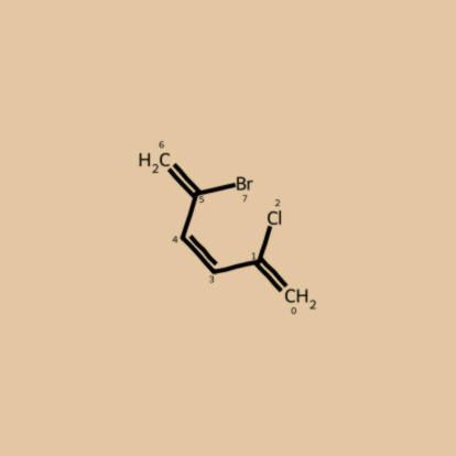 C=C(Cl)/C=C\C(=C)Br